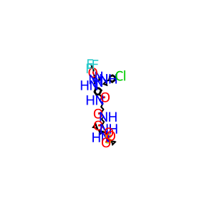 O=C(CCCNC(=O)c1ccc(Nc2nc(NC3(c4ccc(Cl)cc4)CC3)nc(OCC(F)(F)F)n2)cc1)NCCC(=O)N[C@]1(C(=O)NS(=O)(=O)C2CC2)C[C@H]1C1CC1